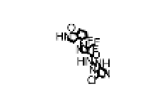 O=C(Nc1nc2c(Cl)cncc2[nH]1)c1cnn(-c2cccc3c(=O)[nH]ccc23)c1C(F)(F)F